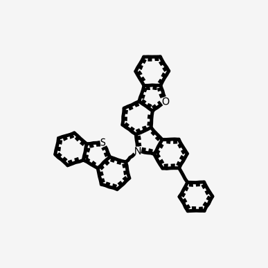 c1ccc(-c2ccc3c4c5oc6ccccc6c5ccc4n(-c4cccc5c4sc4ccccc45)c3c2)cc1